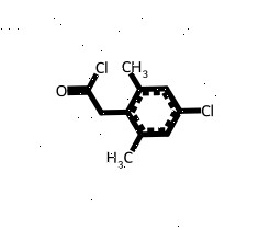 Cc1cc(Cl)cc(C)c1CC(=O)Cl